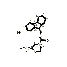 Cl.O=C(O)C1CN(C(=O)OCC2c3ccccc3-c3ccccc32)CCN1